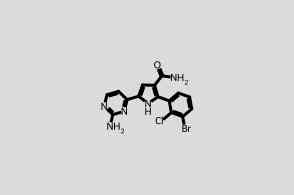 NC(=O)c1cc(-c2ccnc(N)n2)[nH]c1-c1cccc(Br)c1Cl